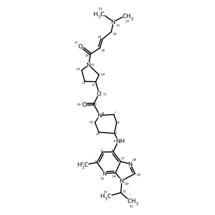 Cc1cc(NC2CCN(C(=O)OC3CCN(C(=O)/C=C/CN(C)C)C3)CC2)c2ncn(C(C)C)c2n1